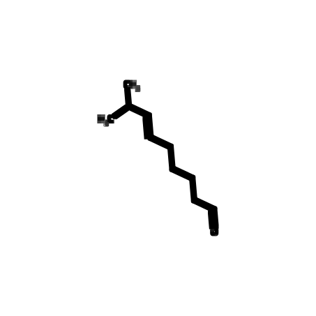 CC(C)C=CCCCCC=O